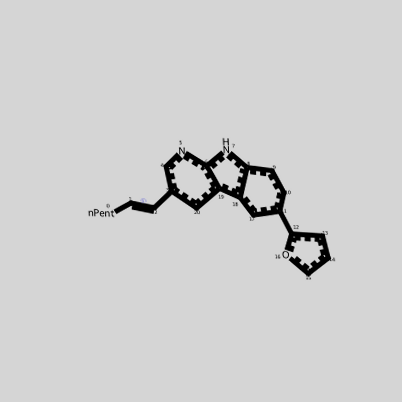 CCCCC/C=C/c1cnc2[nH]c3ccc(-c4ccco4)cc3c2c1